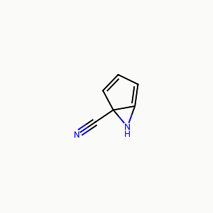 N#CC12C=CC=C1N2